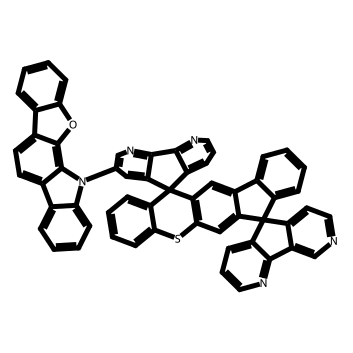 c1ccc2c(c1)Sc1cc3c(cc1C21c2cccnc2-c2ncc(-n4c5ccccc5c5ccc6c7ccccc7oc6c54)cc21)-c1ccccc1C31c2ccncc2-c2ncccc21